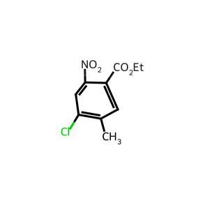 CCOC(=O)c1cc(C)c(Cl)cc1[N+](=O)[O-]